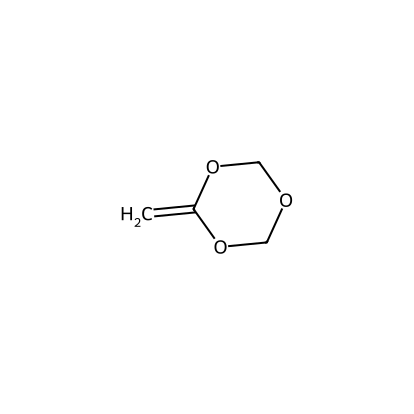 C=C1OCOCO1